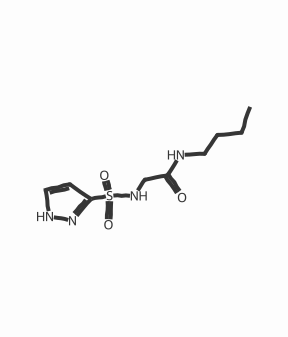 CCCCNC(=O)CNS(=O)(=O)c1cc[nH]n1